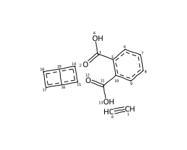 C#C.O=C(O)c1ccccc1C(=O)O.c1cc2ccc1-2